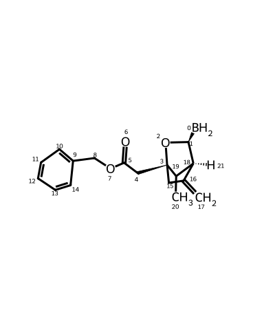 B[C@@H]1O[C@@]2(CC(=O)OCc3ccccc3)CC(=C)[C@H]1C2C